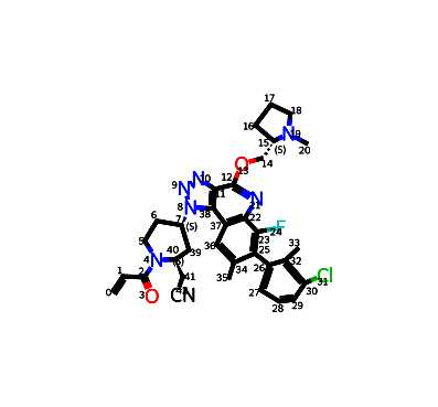 C=CC(=O)N1CC[C@H](n2nnc3c(OC[C@@H]4CCCN4C)nc4c(F)c(-c5cccc(Cl)c5C)c(C)cc4c32)C[C@H]1CC#N